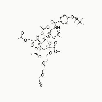 C#CCOCCOCCO[C@]1(C(=O)OC)C[C@H](OC(C)=O)[C@@H](NC(=O)COC(C)=O)[C@H]([C@H](OC(C)=O)[C@@H](CNC(=O)c2ccc(O[Si](C)(C)C(C)(C)C)cc2)OC(C)=O)O1